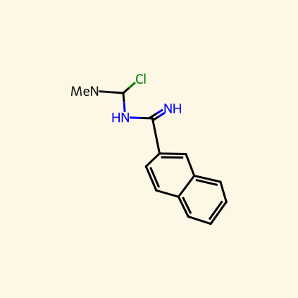 CNC(Cl)NC(=N)c1ccc2ccccc2c1